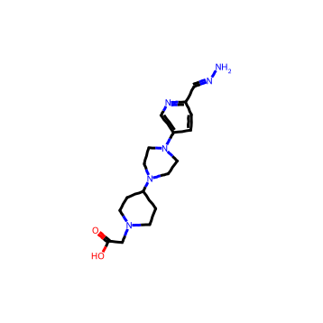 NN=Cc1ccc(N2CCN(C3CCN(CC(=O)O)CC3)CC2)cn1